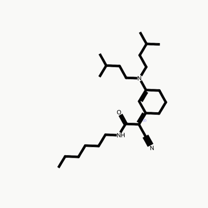 CCCCCCNC(=O)/C(C#N)=C1\C=C(N(CCC(C)C)CCC(C)C)CCC1